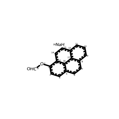 O=COc1ccc2ccc3cccc4ccc1c2c34.[NaH]